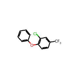 FC(F)(F)c1ccc(Oc2[c]cccc2)c(Cl)c1